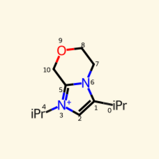 CC(C)c1c[n+](C(C)C)c2n1CCOC2